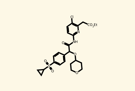 CCOC(=O)Cc1nc(NC(=O)C(OC2CCOCC2)c2ccc(S(=O)(=O)C3CC3)cc2)ccc1Cl